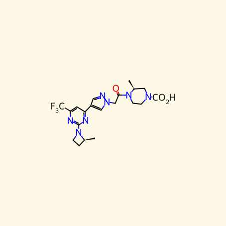 C[C@H]1CN(C(=O)O)CCN1C(=O)Cn1cc(-c2cc(C(F)(F)F)nc(N3CC[C@@H]3C)n2)cn1